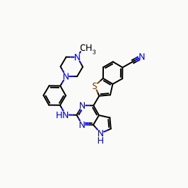 CN1CCN(c2cccc(Nc3nc(-c4cc5cc(C#N)ccc5s4)c4cc[nH]c4n3)c2)CC1